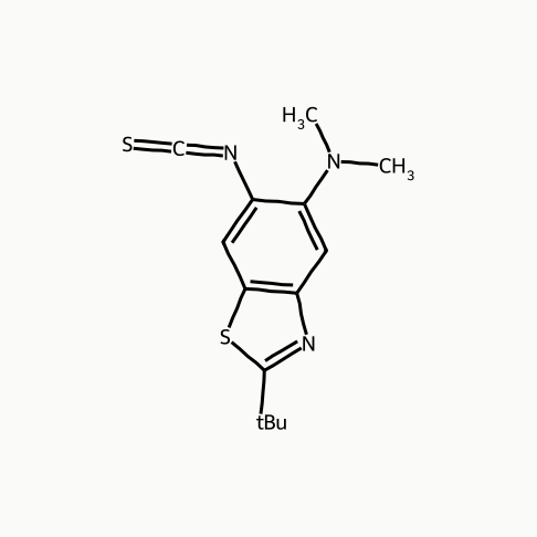 CN(C)c1cc2nc(C(C)(C)C)sc2cc1N=C=S